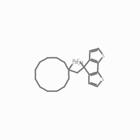 CCOC(=O)C1(CC2(C)c3ccsc3-c3sccc32)CCCCCCCCCCC1